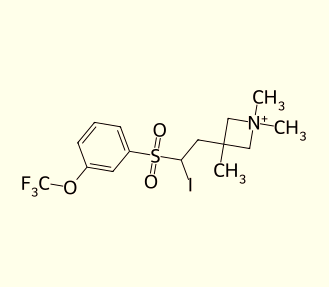 CC1(CC(I)S(=O)(=O)c2cccc(OC(F)(F)F)c2)C[N+](C)(C)C1